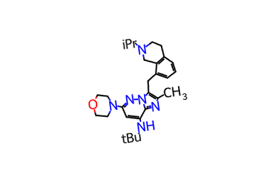 Cc1nc2c(NC(C)(C)C)cc(N3CCOCC3)nn2c1Cc1cccc2c1CN(C(C)C)CC2